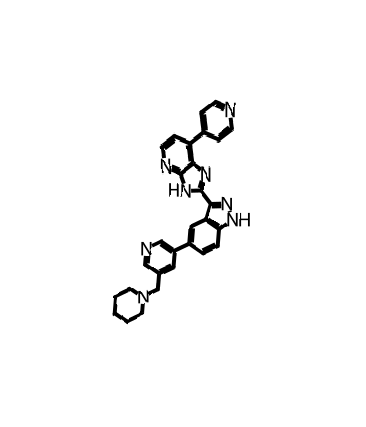 c1cc(-c2ccnc3[nH]c(-c4n[nH]c5ccc(-c6cncc(CN7CCCCC7)c6)cc45)nc23)ccn1